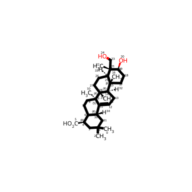 CC1(C)C[C@@H](C(=O)O)C2CC[C@]3(C)C(=CC[C@@H]4[C@@]5(C)CC[C@H](O)[C@@](C)(CO)[C@@H]5CC[C@]43C)[C@@H]2C1